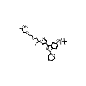 CC(O)COCCOCC(F)n1cc(-c2nn(C3CCCCO3)c3ccc(O[Si](C)(C)C(C)(C)C)cc23)cn1